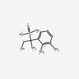 NC(CO)(c1cccc([N+](=O)[O-])c1[N+](=O)[O-])P(=O)(O)O